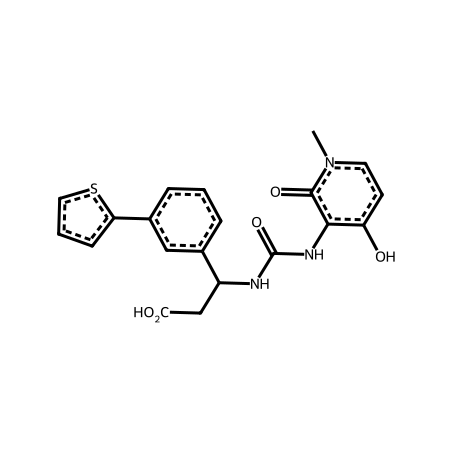 Cn1ccc(O)c(NC(=O)NC(CC(=O)O)c2cccc(-c3cccs3)c2)c1=O